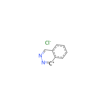 [C+]1=NN=Cc2ccccc21.[Cl-]